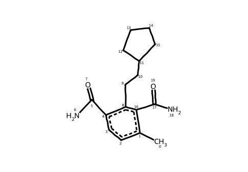 Cc1ccc(C(N)=O)c(CCC2CCCC2)c1C(N)=O